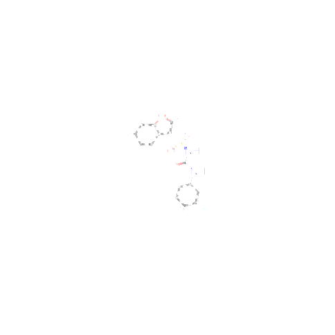 O=C(Nc1ccc(F)c(F)c1)NS(=O)(=O)c1coc2ccccc12